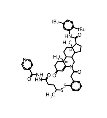 CC(CCC(=O)NNC(=O)c1ccncc1)SSc1ccccc1CC(=O)N1CC2C3CCC(C(=O)Nc4cc(C(C)(C)C)ccc4C(C)(C)C)[C@@]3(C)CCC2[C@@]2(C)CCC(=O)C=C12